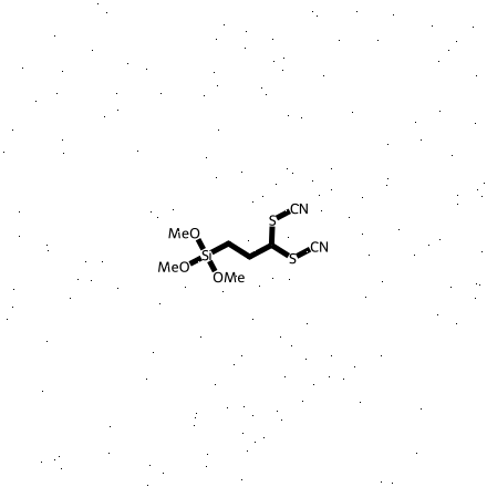 CO[Si](CCC(SC#N)SC#N)(OC)OC